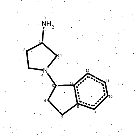 NC1CCN(C2CCc3ccccc32)C1